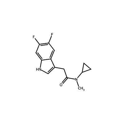 CN(C(=O)Cc1c[nH]c2cc(F)c(F)cc12)C1CC1